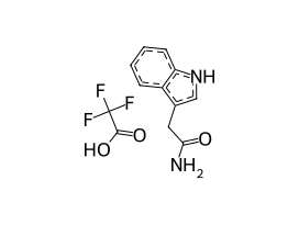 NC(=O)Cc1c[nH]c2ccccc12.O=C(O)C(F)(F)F